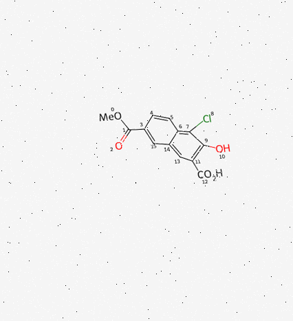 COC(=O)c1ccc2c(Cl)c(O)c(C(=O)O)cc2c1